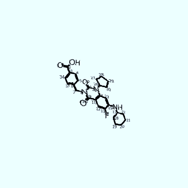 O=C(O)c1ccc(Cn2c(=O)c3cc(F)c(NC4CCCCC4)cc3n(C3CCCC3)c2=O)cc1